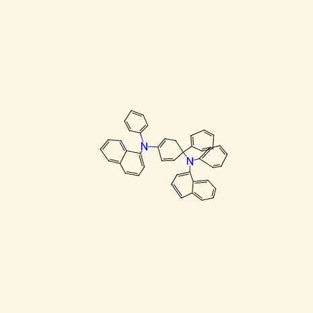 C1=CC(c2ccccc2)(N(c2ccccc2)c2cccc3ccccc23)CC=C1N(c1ccccc1)c1cccc2ccccc12